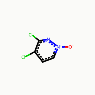 [O-][n+]1ccc(Cl)c(Cl)n1